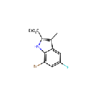 CCOC(=O)c1[nH]c2c(Br)cc(F)cc2c1C